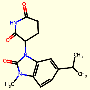 CC(C)c1ccc2c(c1)n(C1CCC(=O)NC1=O)c(=O)n2C